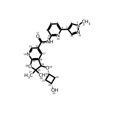 Cn1cc(-c2cccc(NC(=O)c3cnc4c(c3)C(O[C@H]3C[C@@H](O)C3)C(C)(C)O4)n2)cn1